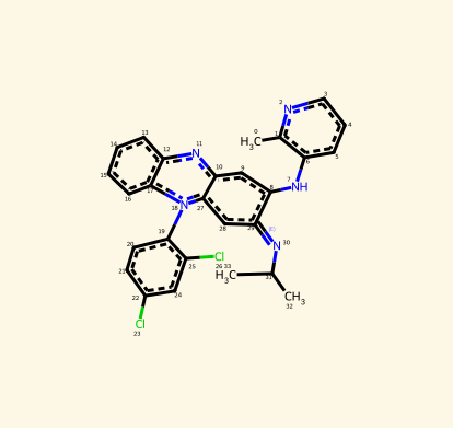 Cc1ncccc1Nc1cc2nc3ccccc3n(-c3ccc(Cl)cc3Cl)c-2c/c1=N\C(C)C